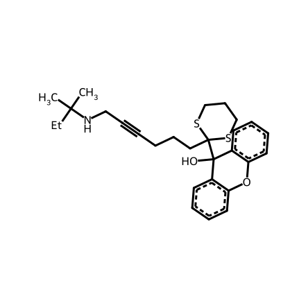 CCC(C)(C)NCC#CCCCC1(C2(O)c3ccccc3Oc3ccccc32)SCCCS1